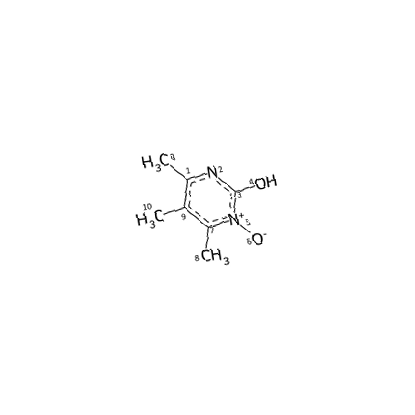 Cc1nc(O)[n+]([O-])c(C)c1C